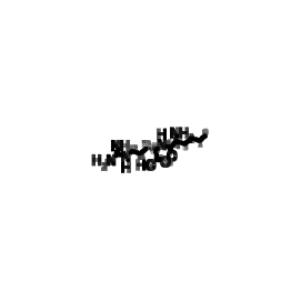 CCCC[C@H](N)C(=O)N[C@@H](CCCNC(=N)N)C(=O)O